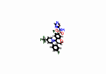 O=S(=O)(Nc1ncns1)c1cc2c(cc1F)C(N1CC[C@@H](C(F)(F)F)C[C@H]1c1ccc(F)cc1)CCO2